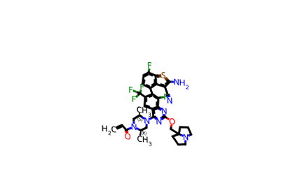 C=CC(=O)N1C[C@H](C)N(c2nc(OCC34CCCN3CCC4)nc3c(F)c(-c4ccc(F)c5sc(N)c(C#N)c45)c(C(F)(F)F)cc23)C[C@H]1C